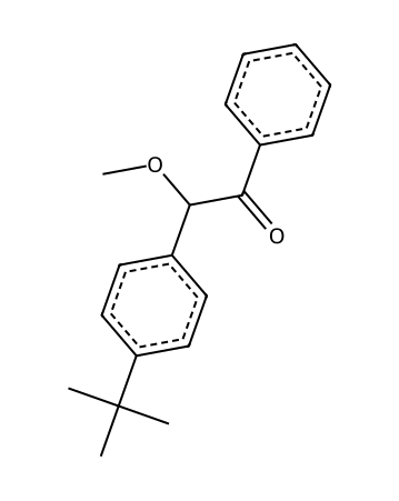 COC(C(=O)c1ccccc1)c1ccc(C(C)(C)C)cc1